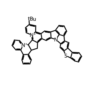 CC(C)(C)c1cc[n+]2c3c(c4cc5c(cc4c2c1)c1cccc2c4cc6c(cc4n5c21)sc1ccccc16)CC1c2ccccc2-c2cccc[n+]2C31